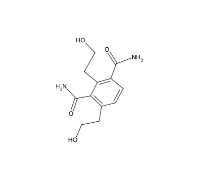 NC(=O)c1ccc(CCO)c(C(N)=O)c1CCO